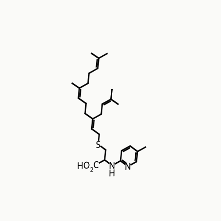 CC(C)=CCCC(C)=CCCC(=CCSCC(Nc1ccc(C)cn1)C(=O)O)CC=C(C)C